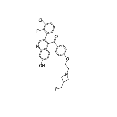 O=C(c1ccc(OCCN2CC(CF)C2)cc1)c1c(-c2cccc(Cl)c2F)cnc2cc(O)ccc12